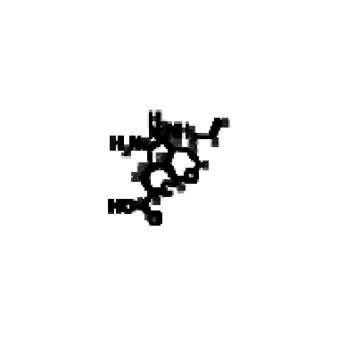 C=CC[C@@H]1COc2cc(C(=O)O)cc3c2C1C(N)(N)C3N